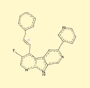 Fc1cnc2[nH]c3cnc(-c4cccnc4)cc3c2c1/C=C/c1ccccc1